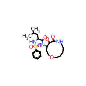 CC(C)CC(NS(=O)(=O)c1ccccc1)C(=O)NC1CCOCCCCCNC(=O)C1=O